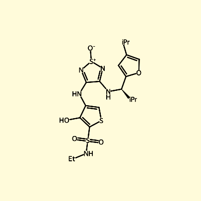 CCNS(=O)(=O)c1scc(Nc2n[s+]([O-])nc2N[C@@H](c2cc(C(C)C)co2)C(C)C)c1O